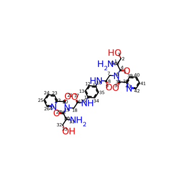 N[C@@H](CO)C(=O)N(CC(=O)Nc1ccc(NC(=O)CN(C(=O)c2ccccn2)C(=O)[C@@H](N)CO)cc1)C(=O)c1ccccn1